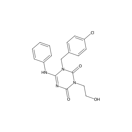 O=c1nc(Nc2ccccc2)n(Cc2ccc(Cl)cc2)c(=O)n1CCO